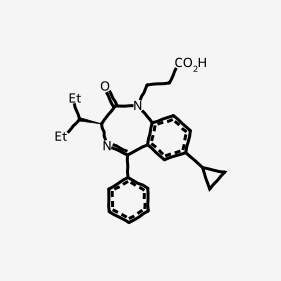 CCC(CC)[C@@H]1N=C(c2ccccc2)c2cc(C3CC3)ccc2N(CCC(=O)O)C1=O